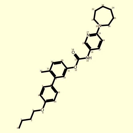 CCCCOc1ccc(-c2cc(OC(=O)Nc3ccc(N4CCCCCC4)nc3)ccc2C)cc1